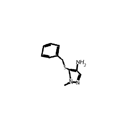 Cn1ncc(N)c1SCc1ccccc1